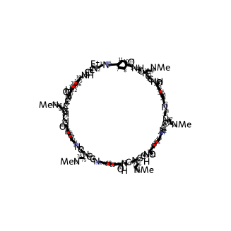 CCN1CC/N=C/c2ccc(cc2)C(=O)NCCN(CCNC)CCNC(=O)c2ccc(cc2)/C=N/CCN(CCNC)CC/N=C/c2ccc(cc2)C(=O)NCCN(CCNC)CCNC(=O)c2ccc(cc2)/C=N/CCN(CCNC)CC/N=C/c2ccc(cc2)C(=O)NCCN(CCNC)CCNC(=O)c2ccc(cc2)CNCC1